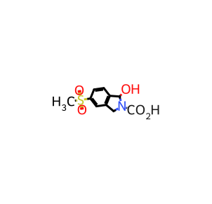 CS(=O)(=O)c1ccc2c(c1)CN(C(=O)O)C2O